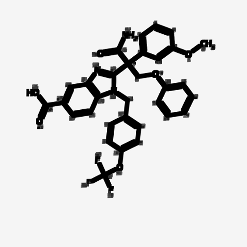 COc1cccc(C(COc2ccccc2)(C(N)=O)c2nc3cc(C(=O)O)ccc3n2Cc2ccc(OC(F)(F)F)cc2)c1